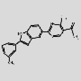 Cc1cccc(-c2cc3cc(-c4ncc(C(N)=O)c(C)n4)ccc3[nH]2)c1